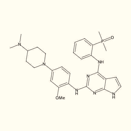 COc1cc(N2CCC(N(C)C)CC2)ccc1Nc1nc(Nc2ccccc2P(C)(C)=O)c2cc[nH]c2n1